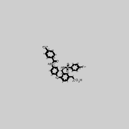 O=C(O)Cc1ccc(Oc2ccc(NC(=O)c3ccc(Cl)cc3)cc2)c(CNS(=O)(=O)c2ccc(F)cc2)c1